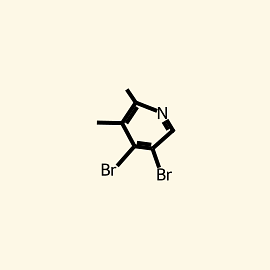 Cc1ncc(Br)c(Br)c1C